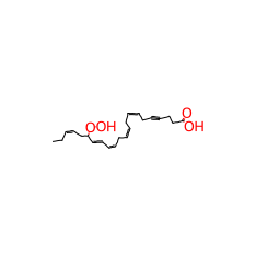 CC/C=C\CC(/C=C/C=C\C/C=C\C/C=C\CC#CCCC(=O)O)OO